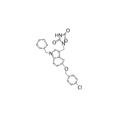 O=c1[nH]c(=O)n(Cc2cn(Cc3ccccc3)c3ccc(OCc4ccc(Cl)cc4)cc23)o1